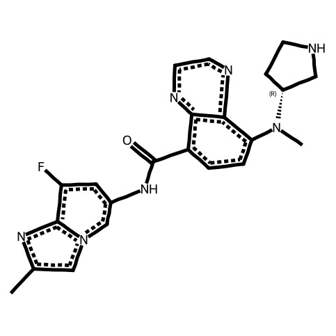 Cc1cn2cc(NC(=O)c3ccc(N(C)[C@@H]4CCNC4)c4nccnc34)cc(F)c2n1